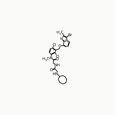 Cc1nc2c(OCc3c(Cl)ccc(N(C)C(=O)CNC(=O)CNC4CCCCCCC4)c3Cl)cccn2c1Br